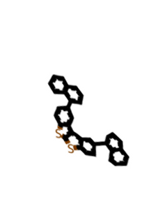 c1ccc2c(-c3ccc4sc5sc6ccc(-c7cccc8ccccc78)cc6c5c4c3)cccc2c1